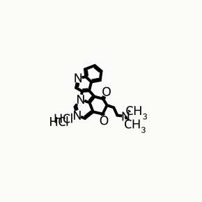 CN(C)CCC1C(=O)c2cncn3c2c(c2c4ccccc4ncc23)C1=O.Cl.Cl